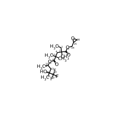 CCC(C)(CC(C)(C)C(=O)OC(C)CC(C)(O)C(F)(F)F)C(=O)OCC1CO1